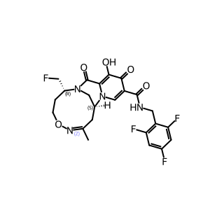 C/C1=N/OCC[C@H](CF)N2C[C@H](C1)n1cc(C(=O)NCc3c(F)cc(F)cc3F)c(=O)c(O)c1C2=O